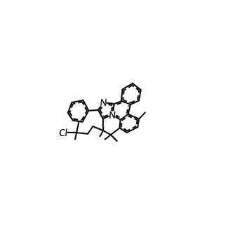 Cc1ccc2c3c1c1ccccc1c1nc(-c4ccccc4)c(n13)C(C)(CCC(C)(C)Cl)C2(C)C